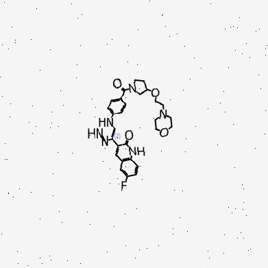 N=N/C(=C\Nc1ccc(C(=O)N2CCC(OCCN3CCOCC3)C2)cc1)c1cc2cc(F)ccc2[nH]c1=O